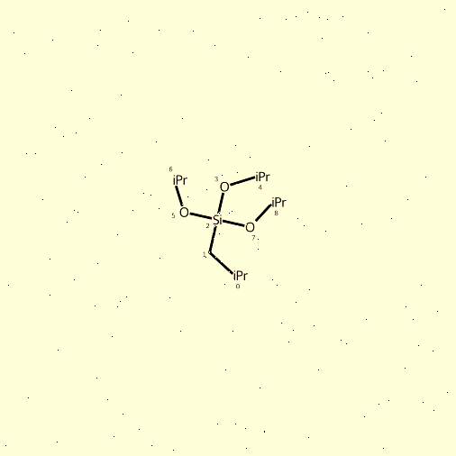 CC(C)C[Si](OC(C)C)(OC(C)C)OC(C)C